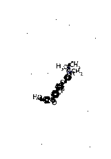 C=N/C(=N\C=C(/C)CC)N1CCC(COc2ccc(C3=CCC(C(=O)N4CCC(CO)CC4)CC3)c(F)c2)CC1